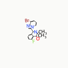 CC1(C)N=C(c2cnc3c(Br)cccn23)c2cccc(F)c2C1=O